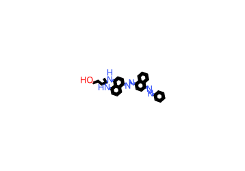 CC1(CCCO)Nc2cccc3c(N=Nc4ccc(/N=N/c5ccccc5)c5ccccc45)ccc(c23)N1